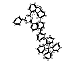 c1ccc(-c2nc(-c3ccccc3)nc(-c3cccc4oc5ccc(-c6ccc(-c7cccc(-c8cccc9c8-c8ccccc8C98c9ccccc9-c9ccccc98)c7)cc6)cc5c34)n2)cc1